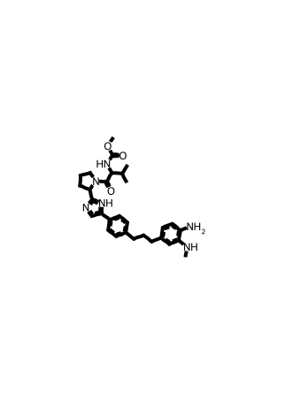 CNc1cc(CCCc2ccc(-c3cnc(C4CCCN4C(=O)C(NC(=O)OC)C(C)C)[nH]3)cc2)ccc1N